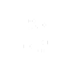 CC(C)(C)C=CS(=O)(=O)O